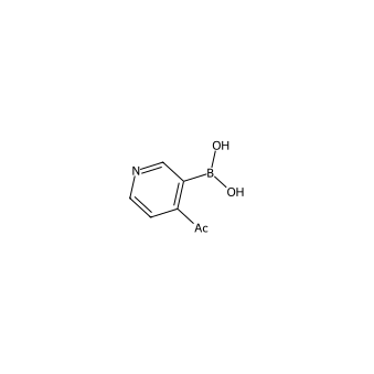 CC(=O)c1ccncc1B(O)O